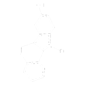 CCn1c2c(c3cc(O)ccc31)CSc1ccccc1-2